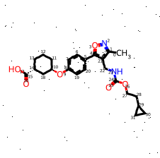 Cc1noc(-c2ccc(O[C@@H]3CCC[C@@H](C(=O)O)C3)cc2)c1CNC(=O)OCCC1CC1